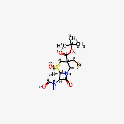 CC(C)(C)OC(=O)C1(CBr)CN2C(=O)C(NC=O)[C@H]2[S+]([O-])C1